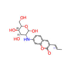 C/C=C/c1cc2ccc(NC3C(O)OC(CO)[C@H](O)[C@H]3O)cc2oc1=O